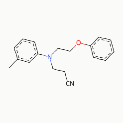 Cc1cccc(N(CCC#N)CCOc2ccccc2)c1